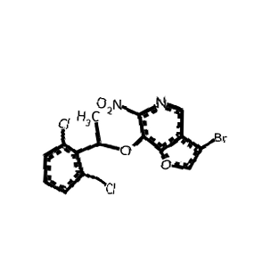 CC(Oc1c([N+](=O)[O-])ncc2c(Br)coc12)c1c(Cl)cccc1Cl